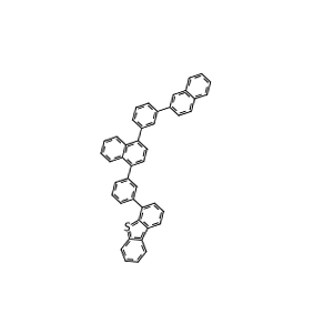 c1cc(-c2ccc3ccccc3c2)cc(-c2ccc(-c3cccc(-c4cccc5c4sc4ccccc45)c3)c3ccccc23)c1